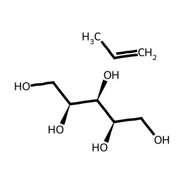 C=CC.OC[C@@H](O)[C@H](O)[C@@H](O)CO